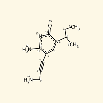 CCC(C)n1cc(C#CCN)c(N)nc1=O